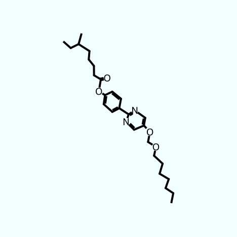 CCCCCCCOCOc1cnc(-c2ccc(OC(=O)CCCCC(C)CC)cc2)nc1